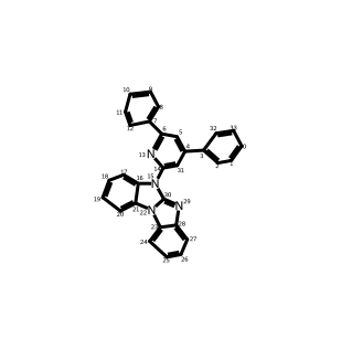 c1ccc(-c2cc(-c3ccccc3)nc(-n3c4ccccc4n4c5ccccc5nc34)c2)cc1